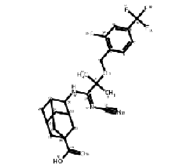 CC(C)(OCc1ccc(C(F)(F)F)cc1F)C(=NC#N)NC1C2CC3CC1CC(C(=O)O)(C3)C2